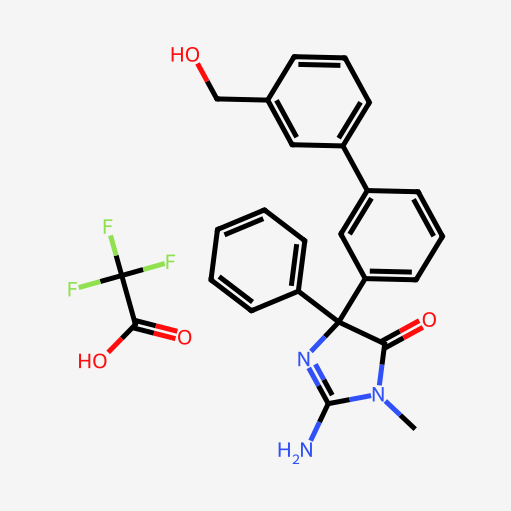 CN1C(=O)C(c2ccccc2)(c2cccc(-c3cccc(CO)c3)c2)N=C1N.O=C(O)C(F)(F)F